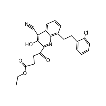 CCOC(=O)CCC(=O)c1nc2c(CCc3ccccc3Cl)cccc2c(C#N)c1O